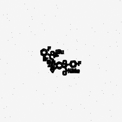 CNC(=O)c1c(-c2ccc(F)cc2)oc2cc(N(CCC(O[Si](C)(C)C(C)(C)C)c3c(F)cccc3Br)S(C)(=O)=O)c(C3CC3)cc12